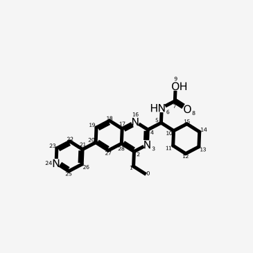 CCc1nc(C(NC(=O)O)C2CCCCC2)nc2ccc(-c3ccncc3)cc12